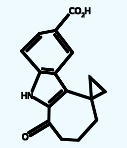 O=C(O)c1ccc2[nH]c3c(c2c1)C1(CCCC3=O)CC1